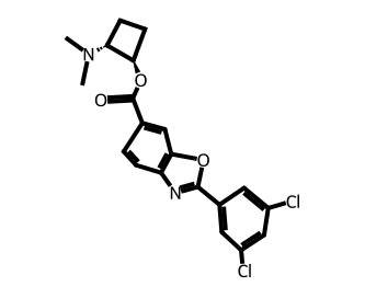 CN(C)[C@@H]1CC[C@H]1OC(=O)c1ccc2nc(-c3cc(Cl)cc(Cl)c3)oc2c1